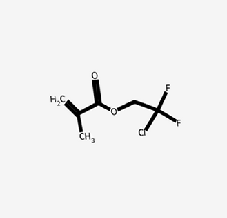 C=C(C)C(=O)OCC(F)(F)Cl